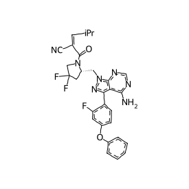 CC(C)/C=C(/C#N)C(=O)N1CC(F)(F)C[C@H]1Cn1nc(-c2ccc(Oc3ccccc3)cc2F)c2c(N)ncnc21